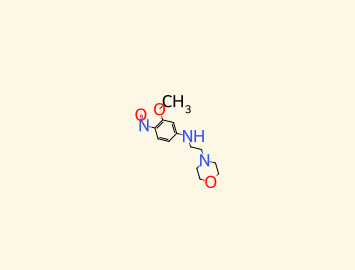 COc1cc(NCCN2CCOCC2)ccc1N=O